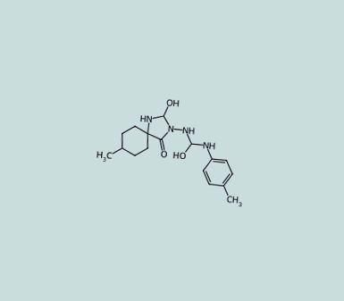 Cc1ccc(NC(O)NN2C(=O)C3(CCC(C)CC3)NC2O)cc1